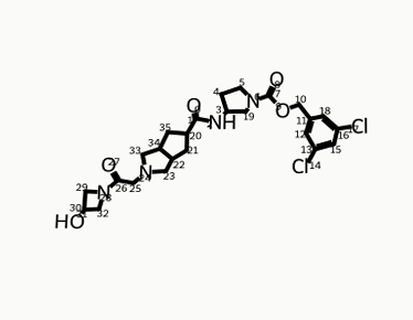 O=C(NC1CCN(C(=O)OCc2cc(Cl)cc(Cl)c2)C1)C1CC2CN(CC(=O)N3CC(O)C3)CC2C1